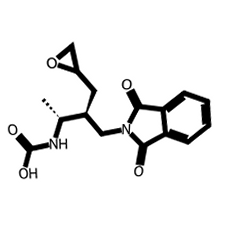 C[C@@H](NC(=O)O)[C@@H](CC1CO1)CN1C(=O)c2ccccc2C1=O